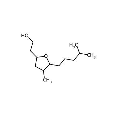 CC(C)CCCC1OC(CCO)CC1C